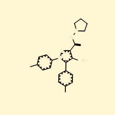 COc1c(C(=O)NN2CCCC2)nn(-c2ccc(Cl)cc2)c1-c1ccc(Cl)cc1